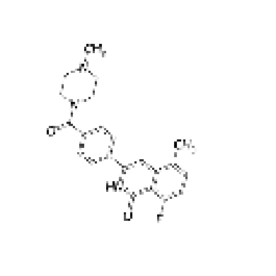 Cc1ccc(F)c2c(=O)[nH]c(-c3ccc(C(=O)N4CCN(C)CC4)cc3)cc12